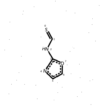 S=CNc1ncco1